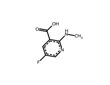 CNc1ncc(F)cc1C(=O)O